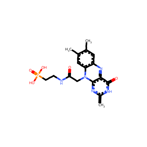 C=c1nc2c(c(=O)[nH]1)=Nc1cc(C)c(C)cc1N2CC(=O)NCCP(=O)(O)O